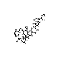 CC(C)(C)C(=O)Nc1ccc(C2CCN(CCCC3(c4ccc(Cl)c(Cl)c4)CCCN(C(=O)c4ccccc4)C3)CC2)cc1